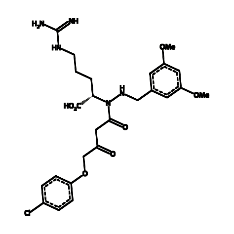 COc1cc(CNN(C(=O)CC(=O)COc2ccc(Cl)cc2)[C@@H](CCCNC(=N)N)C(=O)O)cc(OC)c1